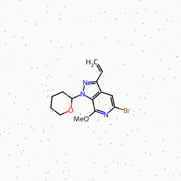 C=Cc1nn(C2CCCCO2)c2c(OC)nc(Br)cc12